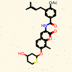 CC(=O)Oc1ccc(C(=O)Nc2cc3ccc(OC4CC(O)CCS4)c(C)c3oc2=O)cc1CC=C(C)C